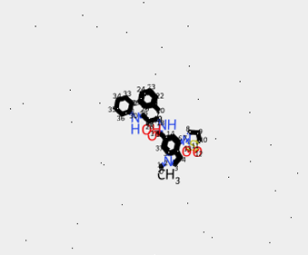 CCn1ccc2c(N3CCCS3(=O)=O)cc(C(=O)N[C@@H](Cc3ccccc3)[C@H](O)CNC3CCCCC3)cc21